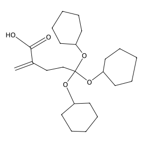 C=C(CCC(OC1CCCCC1)(OC1CCCCC1)OC1CCCCC1)C(=O)O